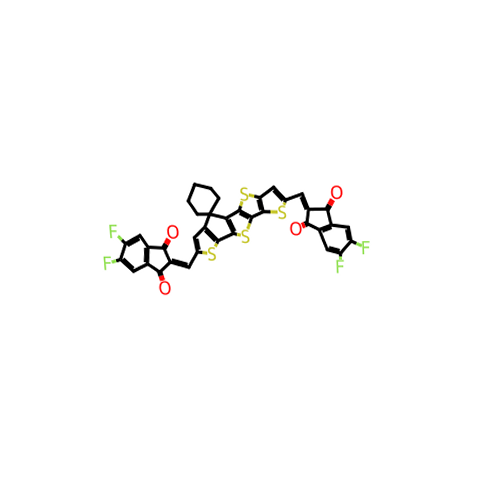 O=C1C(=Cc2cc3c(s2)-c2sc4c(sc5cc(C=C6C(=O)c7cc(F)c(F)cc7C6=O)sc54)c2C32CCCCC2)C(=O)c2cc(F)c(F)cc21